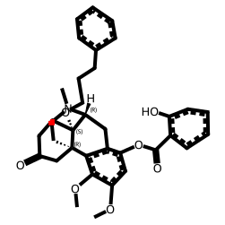 COc1cc(OC(=O)c2ccccc2O)c2c(c1OC)[C@]13CCN(C)[C@H](C2)[C@]1(OCCCc1ccccc1)CCC(=O)C3